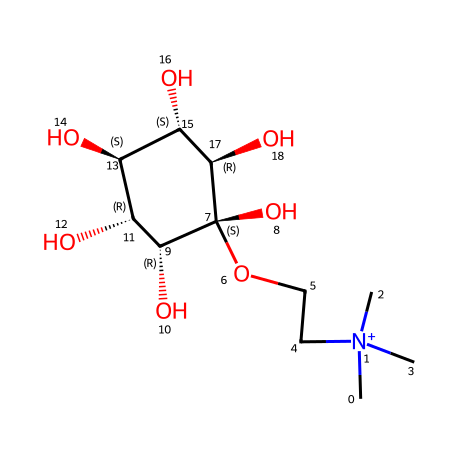 C[N+](C)(C)CCO[C@]1(O)[C@H](O)[C@H](O)[C@@H](O)[C@H](O)[C@H]1O